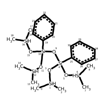 C[SiH](C)O[Si](O[SiH](C)C)(O[Si](O[SiH](C)C)(O[SiH](C)C)c1ccccc1)c1ccccc1